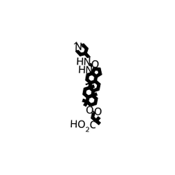 CN1CCC(CNC(=O)NC23CCCC2C2CCC4C5(C)CCC(OC(=O)CC(C)(C)C(=O)O)C(C)(C)C5CCC4(C)[C@]2(C)CC3)CC1